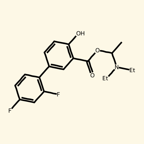 CCN(CC)C(C)OC(=O)c1cc(-c2ccc(F)cc2F)ccc1O